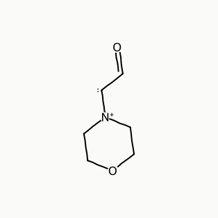 O=C[C][N+]1CCOCC1